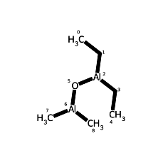 C[CH2][Al]([CH2]C)[O][Al]([CH3])[CH3]